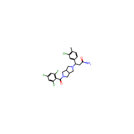 Cc1ccc(C(CC(N)=O)N2CC3CN(C(=O)c4c(F)cc(F)cc4F)CC3C2)cc1Cl